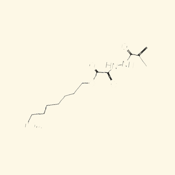 C=C(C)C(=O)NNC(=O)C(=O)OCCCCCCCCCCCCCCCCC